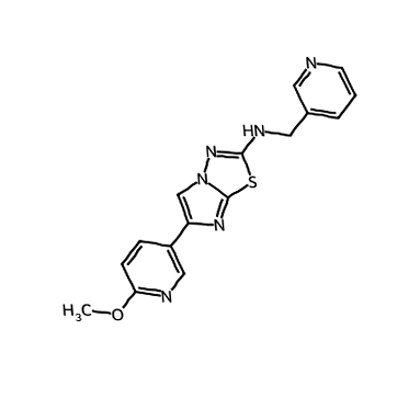 COc1ccc(-c2cn3nc(NCc4cccnc4)sc3n2)cn1